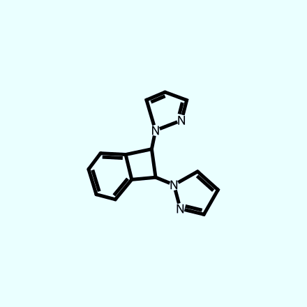 c1ccc2c(c1)C(n1cccn1)C2n1cccn1